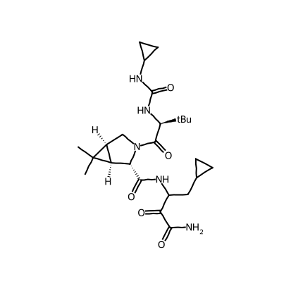 CC(C)(C)[C@H](NC(=O)NC1CC1)C(=O)N1C[C@H]2[C@@H]([C@H]1C(=O)NC(CC1CC1)C(=O)C(N)=O)C2(C)C